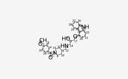 COc1ccc([S+]([O-])N2CCC(CNC[C@H](O)COc3cccc4[nH]c5ccccc5c34)CC2)cc1